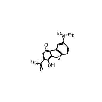 CCN(CC)c1ccc2sc3c(O)c(C([NH])=O)nc(Cl)c3c2c1